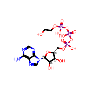 Nc1ncnc2c1ncn2[C@@H]1O[C@H](COP(=O)(O)OP(=O)(O)OP(=O)(O)OCCO)[C@@H](O)[C@H]1O